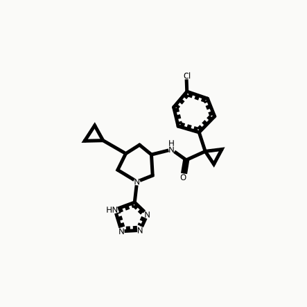 O=C(NC1CC(C2CC2)CN(c2nnn[nH]2)C1)C1(c2ccc(Cl)cc2)CC1